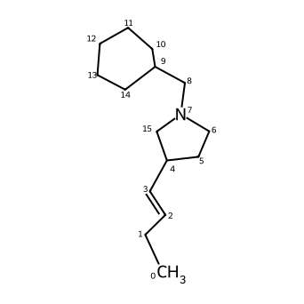 CC/C=C/C1CCN(CC2CCCCC2)C1